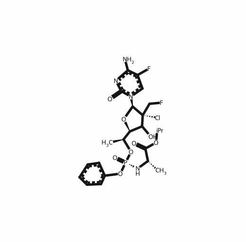 CC(C)OC(=O)[C@H](C)N[P@@](=O)(Oc1ccccc1)O[C@@H](C)[C@H]1O[C@@H](n2cc(F)c(N)nc2=O)[C@@](Cl)(CF)C1O